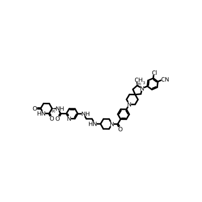 C[C@@H]1CC2(CCN(c3ccc(C(=O)N4CCC(NCCNc5ccc(C(=O)N[C@@H]6CCC(=O)NC6=O)nc5)CC4)cc3)CC2)CN1c1ccc(C#N)c(Cl)c1